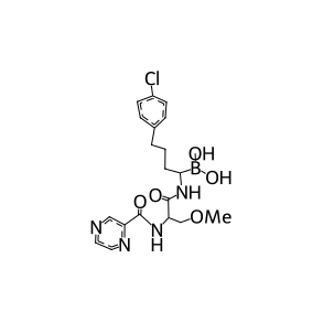 COCC(NC(=O)c1cnccn1)C(=O)NC(CCCc1ccc(Cl)cc1)B(O)O